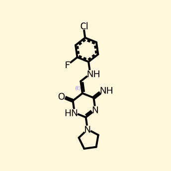 N=C1N=C(N2CCCC2)NC(=O)/C1=C/Nc1ccc(Cl)cc1F